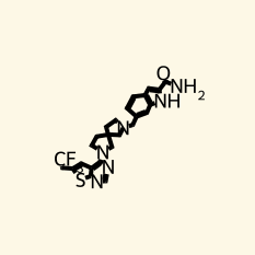 NC(=O)c1cc2ccc(CN3CCC4(CCN(c5ncnc6sc(CC(F)(F)F)cc56)C4)C3)cc2[nH]1